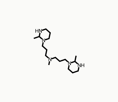 CC1NCCCN1CCCN(C)CCCN1CCCNC1C